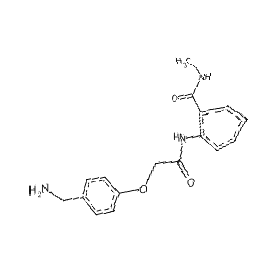 CNC(=O)c1ccccc1NC(=O)COc1ccc(CN)cc1